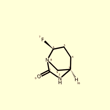 O=C1N[C@@H]2CC[C@H](F)N1C2